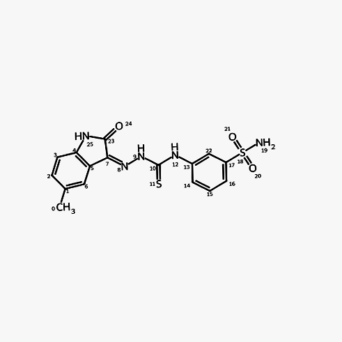 Cc1ccc2c(c1)C(=NNC(=S)Nc1cccc(S(N)(=O)=O)c1)C(=O)N2